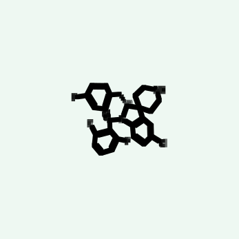 O=C(c1c(F)cccc1F)N1c2ccc(Cl)cc2C2(CCNCC2)[C@H]1Cc1ccc(F)cc1Cl